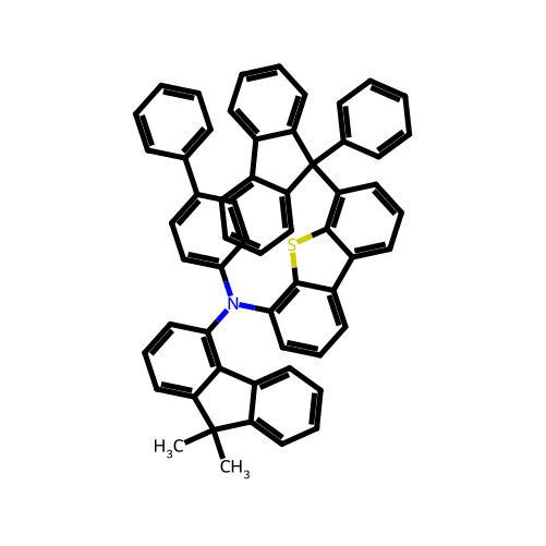 CC1(C)c2ccccc2-c2c(N(c3ccc(-c4ccccc4)cc3)c3cccc4c3sc3c(C5(c6ccccc6)c6ccccc6-c6ccccc65)cccc34)cccc21